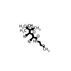 COCCNC(=O)/C(C#N)=C1\OC(C)(C)C(C(C)(C)C)=C1C#N